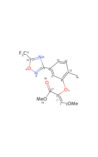 CO/C=C(\Oc1cc(-c2noc(C(F)(F)F)n2)ccc1C)C(=O)OC